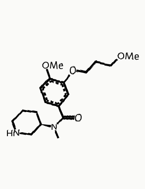 COCCCOc1cc(C(=O)N(C)[C@@H]2CCCNC2)ccc1OC